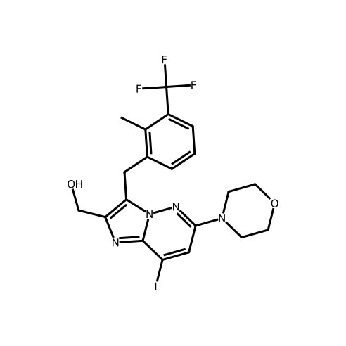 Cc1c(Cc2c(CO)nc3c(I)cc(N4CCOCC4)nn23)cccc1C(F)(F)F